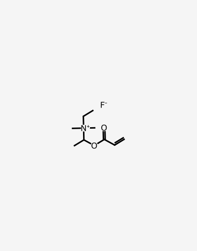 C=CC(=O)OC(C)[N+](C)(C)CC.[F-]